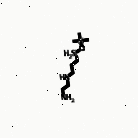 C[Si](C)(C)O[SiH2]CCCNCCN